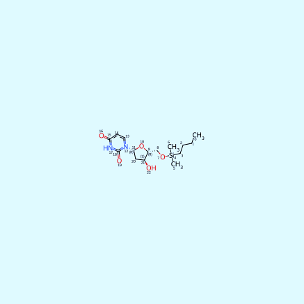 CCCC[Si](C)(C)OC[C@H]1O[C@@H](n2ccc(=O)[nH]c2=O)C[C@@H]1O